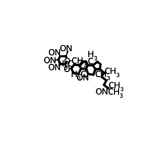 C[C@H](CCCC(C)(C)N=O)C1CC[C@@]2(C)C3CC=C4C(CC[C@H](O[C@@H]5O[C@H](CN=O)[C@@H](N=O)[C@H](N=O)[C@H]5N=O)C4(C)C)[C@]3(C)[C@H](N=O)C[C@]12C